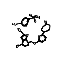 Cc1ccc(S(=O)(=O)O)cc1.Clc1cc2c(Cl)ccc(COc3cccc(C4CCNCC4)n3)c2o1